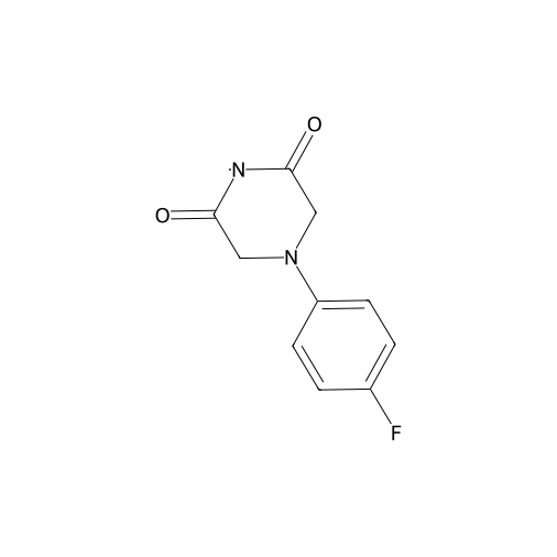 O=C1CN(c2ccc(F)cc2)CC(=O)[N]1